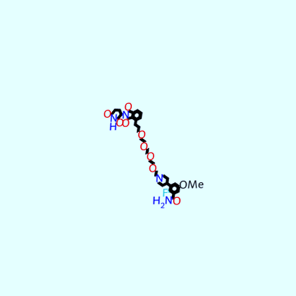 COc1cc(C(N)=O)c(F)c(C2CCN(CCOCCOCCOCCOCCCc3cccc4c3C(=O)N(C3CCC(=O)NC3=O)C4=O)CC2)c1